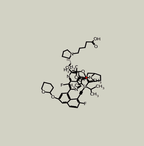 CC(C)[Si](C#Cc1c(F)ccc2cc(OC3CCCCO3)cc(-c3ncc4c(N5CC6CCC(C5)N6C(=O)OC(C)(C)C)nc(OC[C@@H]5CCCN5CCCCC(=O)O)nc4c3F)c12)(C(C)C)C(C)C